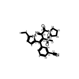 CCc1ccc2c(-c3cccc(C#N)c3)c(S(C)(=O)=O)c(C(=O)N3CCCC3)nn12